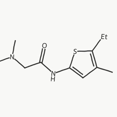 CCc1sc(NC(=O)CN(C)C)cc1C